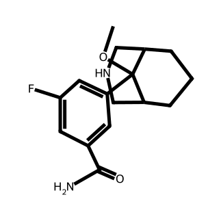 COC1(c2cc(F)cc(C(N)=O)c2)C2CCCC1CNC2